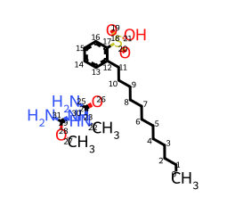 CCCCCCCCCCCCc1ccccc1S(=O)(=O)O.CNC(N)=O.COC(=N)N